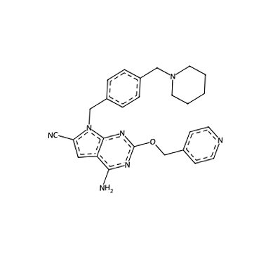 N#Cc1cc2c(N)nc(OCc3ccncc3)nc2n1Cc1ccc(CN2CCCCC2)cc1